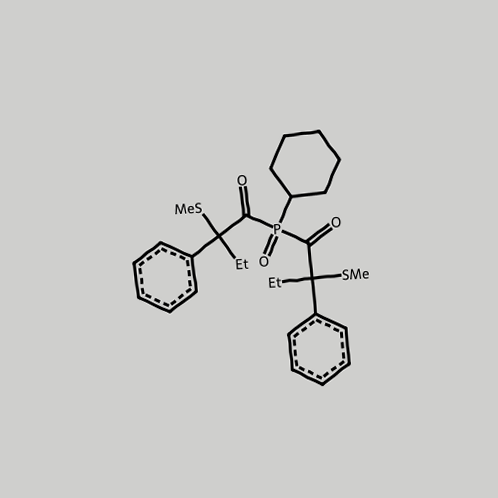 CCC(SC)(C(=O)P(=O)(C(=O)C(CC)(SC)c1ccccc1)C1CCCCC1)c1ccccc1